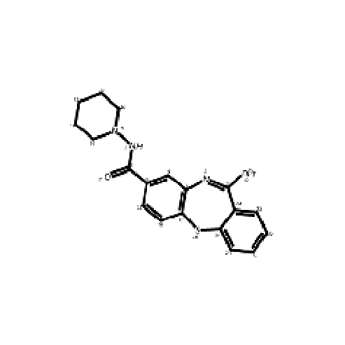 CCCC1=Nc2cc(C(=O)NN3CCCCC3)ccc2Sc2ccccc21